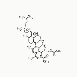 CC(=O)N[C@H]1[C@H](O[C@H]2CC[C@@]3(C)C(CCC4C3CC[C@@]3(C)C4CC[C@@H]3[C@H](C)CCCC(C)C)C2)O[C@H](COC(C)=O)[C@@H](OC(C)=O)[C@@H]1OC(C)=O